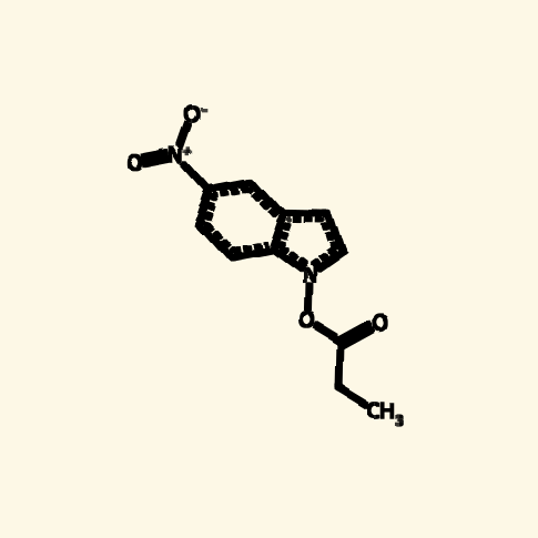 CCC(=O)On1ccc2cc([N+](=O)[O-])ccc21